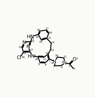 CC(=O)N1CCN(c2ccc3cc2CCc2cccc(c2)Nc2ncc(Cl)c(n2)N3)CC1